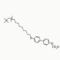 C[Si](C)(C)C[Si](C)(C)CCCCCCCCCOc1ccc(-c2ccc(OC(=O)O)cc2)cc1